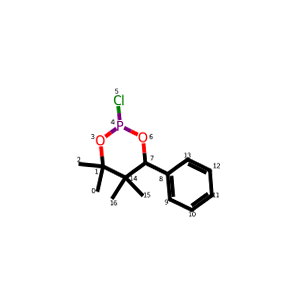 CC1(C)OP(Cl)OC(c2ccccc2)C1(C)C